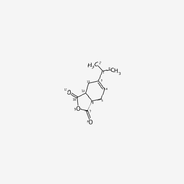 CC(C)C1=CCC2C(=O)OC(=O)C2C1